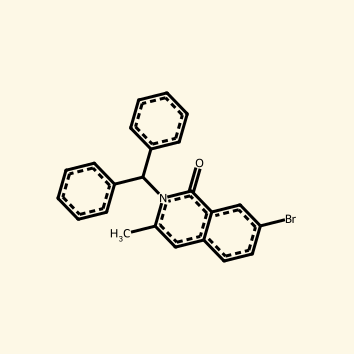 Cc1cc2ccc(Br)cc2c(=O)n1C(c1ccccc1)c1ccccc1